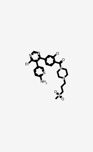 CCc1ncnc(-c2ccc(C(=O)N3CCN(CCCS(C)(=O)=O)CC3)c(Cl)c2)c1-c1ccc(N)nc1